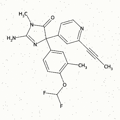 CC#Cc1cc(C2(c3ccc(OC(F)F)c(C)c3)N=C(N)N(C)C2=O)ccn1